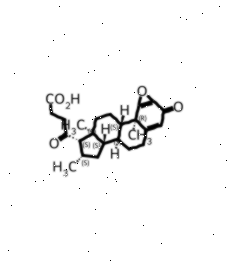 C[C@H]1C[C@H]2[C@@H]3CCC4=CC(=O)C5=C(O5)[C@]4(C)[C@H]3CC[C@]2(C)[C@H]1C(=O)CCC(=O)O